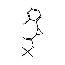 CC(C)(C)OC(=O)[C@@H]1CC1c1ccccc1F